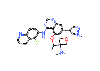 CC(Oc1cc(-c2cnn(C)c2)cc2ncnc(Nc3ccc4ncccc4c3F)c12)C1(N(C)C)COC1